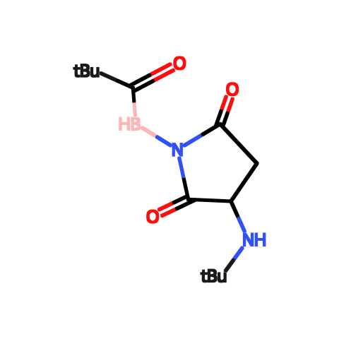 CC(C)(C)NC1CC(=O)N(BC(=O)C(C)(C)C)C1=O